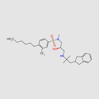 CN(C[C@H](O)CNC(C)(C)CC1Cc2ccccc2C1)S(=O)(=O)c1ccc(CCCCCC(=O)O)c(C(F)(F)F)c1